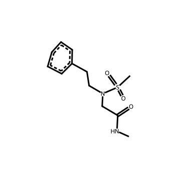 CNC(=O)CN(CCc1ccccc1)S(C)(=O)=O